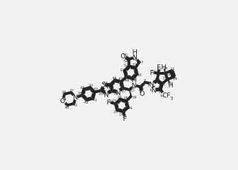 O=C(Cn1nc(C(F)(F)F)c2c1C(F)(F)[C@@H]1C#C[C@H]21)N[C@@H](Cc1cc(F)cc(F)c1)c1nc2nc(-c3ccc(N4CCOCC4)cc3)sc2cc1-c1ccc2c(c1)C(=O)NC2